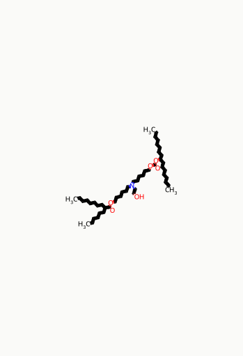 CCCCCCCCC(CCCCCCCC)OC(=O)OCCCCCCN(CCO)CCCCCCOC(=O)C(CCCCCC)CCCCCCCC